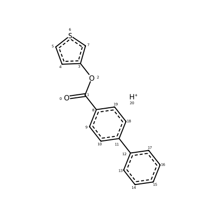 O=C(Oc1ccsc1)c1ccc(-c2ccccc2)cc1.[H+]